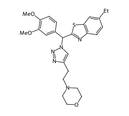 CCc1ccc2nc(C(c3ccc(OC)c(OC)c3)n3cc(CCN4CCOCC4)nn3)sc2c1